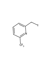 FC(F)(F)c1cccc(CI)n1